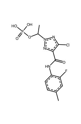 Cc1ccc(NC(=O)c2nn(C(C)OP(=O)(O)O)nc2Cl)c(F)c1